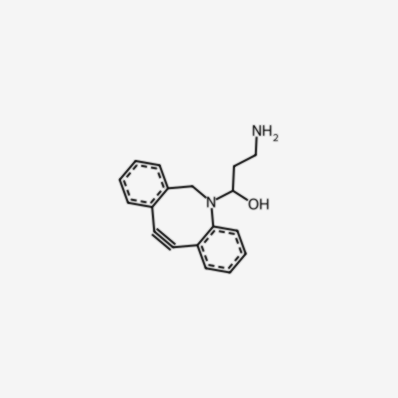 NCCC(O)N1Cc2ccccc2C#Cc2ccccc21